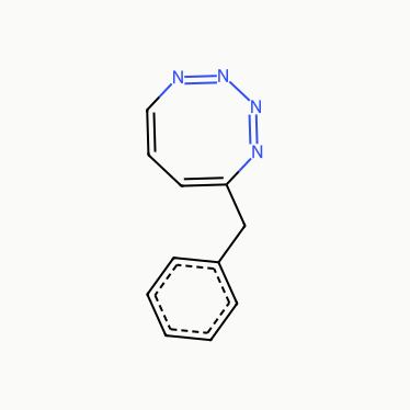 C1=CN=NN=NC(Cc2ccccc2)=C1